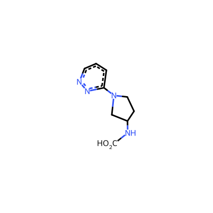 O=C(O)NC1CCN(c2cccnn2)C1